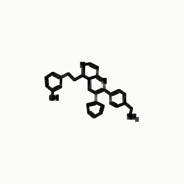 NCc1ccc(-c2nc3ccnc(CCc4cccc(O)c4)c3cc2-c2ccccc2)cc1